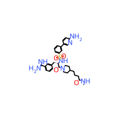 CNC(=O)CCCC1CCN(C(=O)[C@H](Cc2cccc(C(=N)N)c2)NS(=O)(=O)c2cccc(-c3ccc(N)nc3)c2)CC1